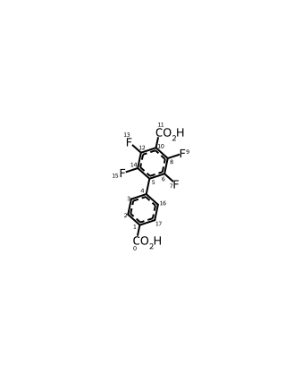 O=C(O)c1ccc(-c2c(F)c(F)c(C(=O)O)c(F)c2F)cc1